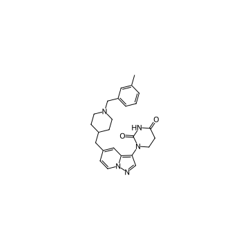 Cc1cccc(CN2CCC(Cc3ccn4ncc(N5CCC(=O)NC5=O)c4c3)CC2)c1